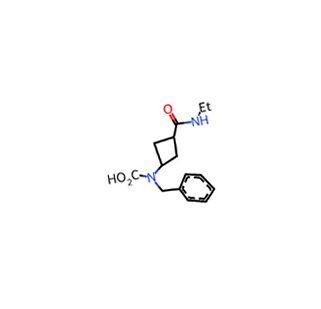 CCNC(=O)C1CC(N(Cc2ccccc2)C(=O)O)C1